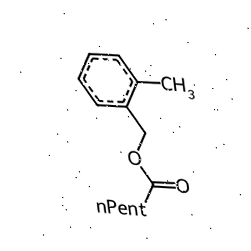 CCCCCC(=O)OCc1ccccc1C